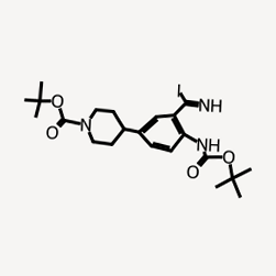 CC(C)(C)OC(=O)Nc1ccc(C2CCN(C(=O)OC(C)(C)C)CC2)cc1C(=N)I